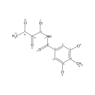 CCC(NC(=O)c1cc(Cl)c(C)c(Cl)c1)C(=O)C(C)Cl